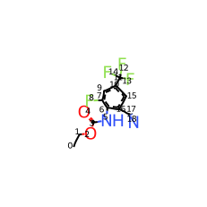 CCOC(=O)Nc1c(F)cc(C(F)(F)F)cc1C#N